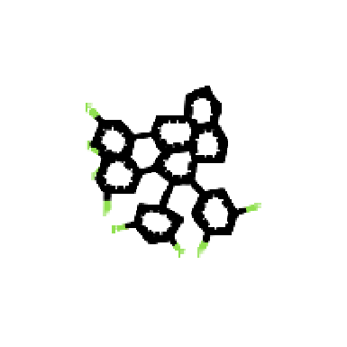 Fc1cc(F)cc(-c2c(-c3cc(F)cc(F)c3)c3ccc4cccc5cc(-c6cc(F)cc(F)c6)c(c2-c2cc(F)cc(F)c2)c3c45)c1